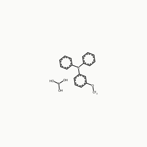 FC(F)(F)Oc1cccc(N(c2ccccc2)c2ccccc2)c1.OB(O)O